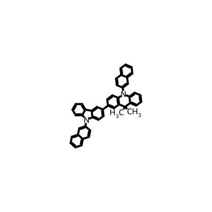 CC1(C)c2ccccc2N(c2ccc3ccccc3c2)c2ccc(-c3ccc4c(c3)c3ccccc3n4-c3ccc4ccccc4c3)cc21